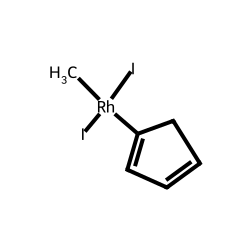 [CH3][Rh]([I])([I])[C]1=CC=CC1